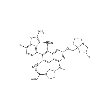 C=CC(=O)N1CCC(N(C)c2nc(OCC34CCCN3CC(F)C4)nc3c(F)c(-c4ccc(F)c5sc(N)c(C#N)c45)c(C#N)cc23)C1